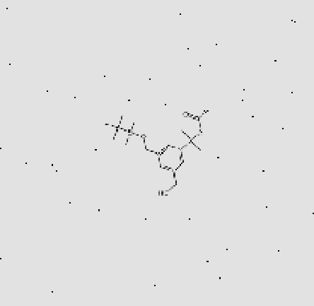 CC(=O)SC(C)(C)c1cc(CO)cc(CO[Si](C)(C)C(C)(C)C)c1